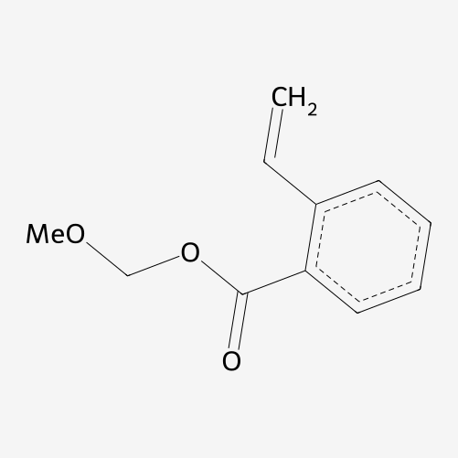 C=Cc1ccccc1C(=O)OCOC